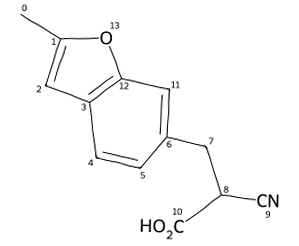 Cc1cc2ccc(CC(C#N)C(=O)O)cc2o1